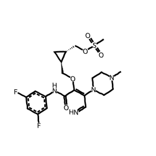 CN1CCN(/C(C=N)=C(\OC[C@H]2C[C@@H]2COS(C)(=O)=O)C(=O)Nc2cc(F)cc(F)c2)CC1